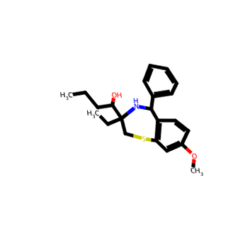 CCCC(O)C1(CC)CSc2cc(OC)ccc2C(c2ccccc2)N1